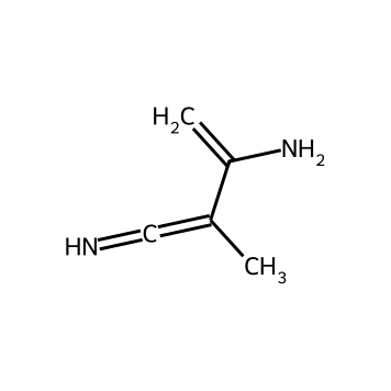 C=C(N)C(C)=C=N